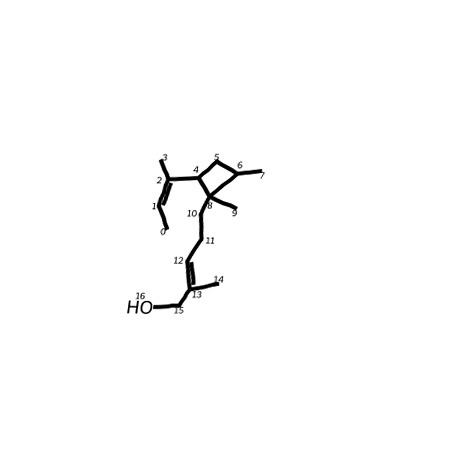 C/C=C(/C)C1CC(C)C1(C)CC/C=C(\C)CO